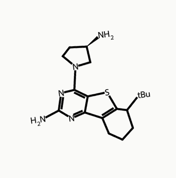 CC(C)(C)C1CCCc2c1sc1c(N3CC[C@@H](N)C3)nc(N)nc21